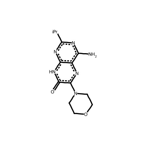 CC(C)c1nc(N)c2nc(N3CCOCC3)c(=O)[nH]c2n1